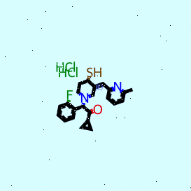 Cc1cccc(/C=C2\CN(C(C(=O)C3CC3)c3ccccc3F)CCC2S)n1.Cl.Cl